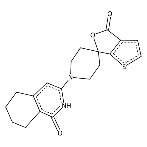 O=C1OC2(CCN(c3cc4c(c(=O)[nH]3)CCCC4)CC2)c2sccc21